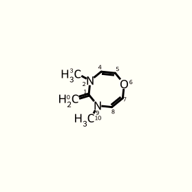 C=C1N(C)/C=C\O/C=C\N1C